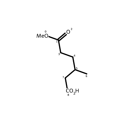 COC(=O)CCC(C)CC(=O)O